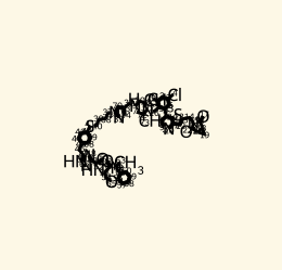 Cc1cc(Cl)cc(-c2ccnc3cc(CN4C(=O)C5CC5C4=O)sc23)c1CN1[C@@H](C)CN(Cc2cnn(CCCCSc3ccc(Cc4nc(C(=O)N[C@H]5COc6ccccc6N(C)C5=O)n[nH]4)cc3)c2)C[C@@H]1C